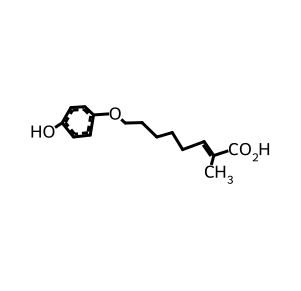 CC(=CCCCCCOc1ccc(O)cc1)C(=O)O